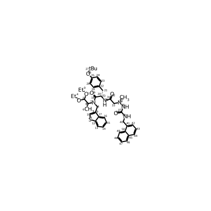 CCOC(OCC)[C@H](C)N(Cc1csc2ccccc12)C(=O)[C@H](Cc1ccc(OC(C)(C)C)cc1)NC(=O)CN(C)NC(=O)NCc1cccc2ccccc12